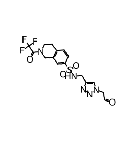 O=CCn1cc(CNS(=O)(=O)c2ccc3c(c2)CN(C(=O)C(F)(F)F)CC3)nn1